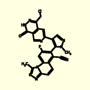 Cc1nnc2ccc3c(C#N)c(-c4c(-c5cc6c(CCl)n[nH]c(=O)c6cn5)cnn4C)c(F)cc3n12